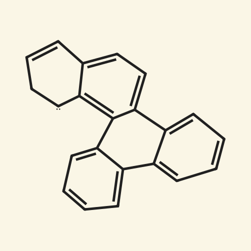 [C]1CC=Cc2ccc3c4ccccc4c4ccccc4c3c21